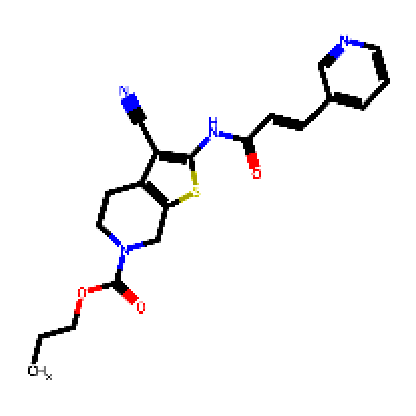 CCCOC(=O)N1CCc2c(sc(NC(=O)/C=C/c3cccnc3)c2C#N)C1